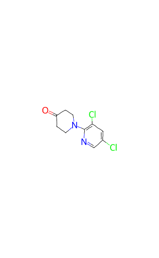 O=C1CCN(c2ncc(Cl)cc2Cl)CC1